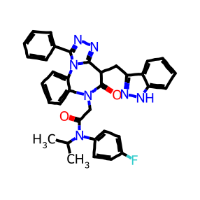 CC(C)N(C(=O)CN1C(=O)C(Cc2n[nH]c3ccccc23)c2nnc(-c3ccccc3)n2-c2ccccc21)c1ccc(F)cc1